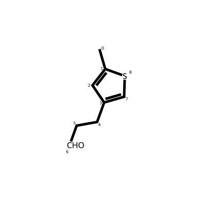 Cc1cc(CCC=O)cs1